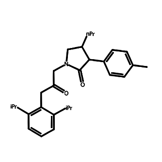 CCCC1CN(CC(=O)Cc2c(C(C)C)cccc2C(C)C)C(=O)C1c1ccc(C)cc1